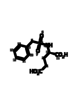 O=C(O)CC[C@@H](NS(=O)(=O)Cc1ccccc1)C(=O)O